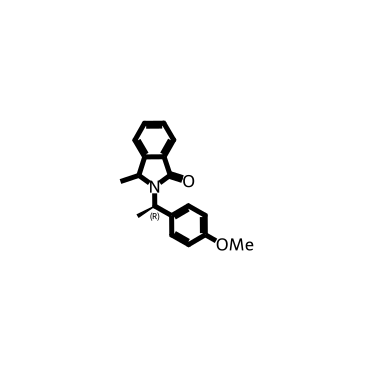 COc1ccc([C@@H](C)N2C(=O)c3ccccc3C2C)cc1